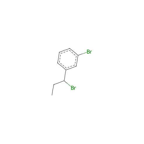 CCC(Br)c1cccc(Br)c1